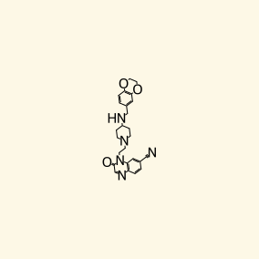 N#Cc1ccc2ncc(=O)n(CCN3CCC(NCc4ccc5c(c4)OCCO5)CC3)c2c1